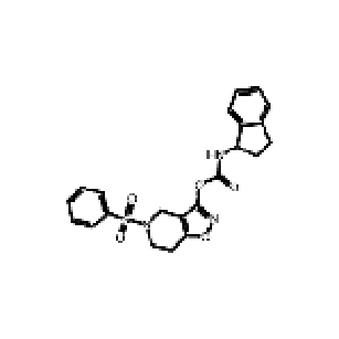 O=C(NC1CCc2ccccc21)Oc1noc2c1CN(S(=O)(=O)c1ccccc1)CC2